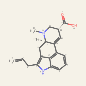 C=CCc1[nH]c2cccc3c2c1C[C@@H]1C3=C[C@@H](C(=O)O)CN1C